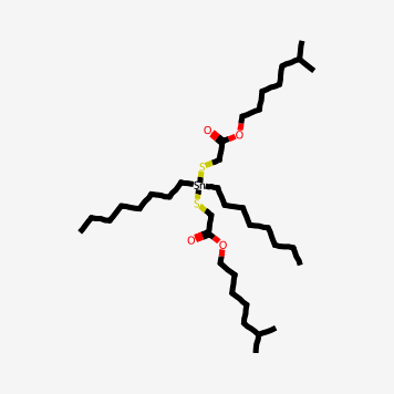 CCCCCCC[CH2][Sn]([CH2]CCCCCCC)([S]CC(=O)OCCCCCC(C)C)[S]CC(=O)OCCCCCC(C)C